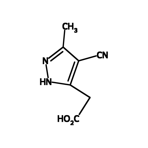 Cc1n[nH]c(CC(=O)O)c1C#N